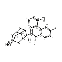 Cc1ncc(C(=O)N[C@H]2C3CC4CC2C[C@@](O)(C4)C3)c(-c2ccccc2Cl)n1